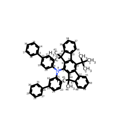 CC(C)(C)c1c2c(c(N(c3ccc(-c4ccccc4)cc3)c3cccc(-c4ccccc4)c3)c3c1-c1ccccc1C3(C)C)C(C)(C)c1ccccc1-2